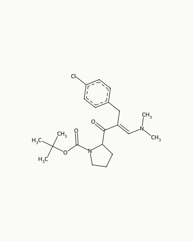 CN(C)C=C(Cc1ccc(Cl)cc1)C(=O)C1CCCN1C(=O)OC(C)(C)C